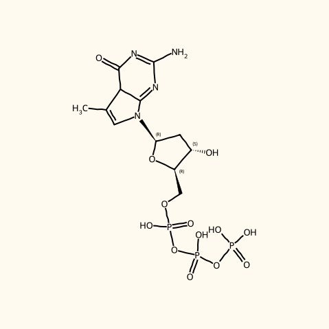 CC1=CN([C@H]2C[C@H](O)[C@@H](COP(=O)(O)OP(=O)(O)OP(=O)(O)O)O2)C2=NC(N)=NC(=O)C12